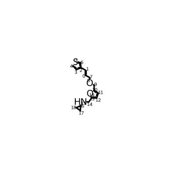 C(=C\c1ccsc1)/COCc1ccc(CNC2CC2)o1